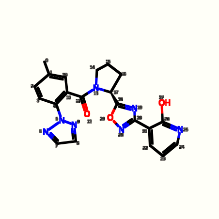 Cc1ccc(-n2nccn2)c(C(=O)N2CCC[C@H]2c2nc(-c3cccnc3O)no2)c1